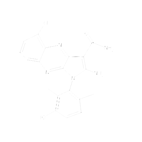 Cc1ccc(O)c(C)c1-n1c(N)c(C(N)=O)c2nc3c(Cl)cccc3nc21